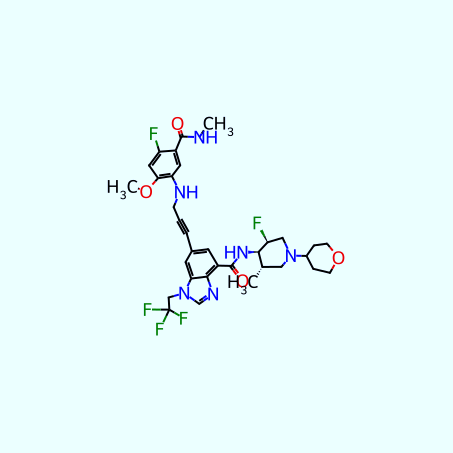 CNC(=O)c1cc(NCC#Cc2cc(C(=O)N[C@@H]3[C@@H](C)CN(C4CCOCC4)C[C@@H]3F)c3ncn(CC(F)(F)F)c3c2)c(OC)cc1F